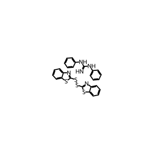 N=C(Nc1ccccc1)Nc1ccccc1.c1ccc2sc(SSc3nc4ccccc4s3)nc2c1